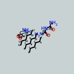 CCCCCC.CCCCCC.CCCCCC.N=C=O.N=C=O.NC(=O)NC(N)=O